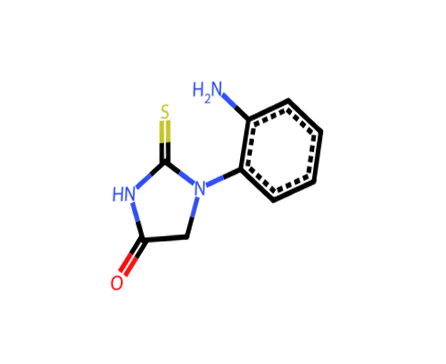 Nc1ccccc1N1CC(=O)NC1=S